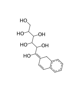 OCC(O)C(O)C(O)C(O)C(O)=C1C=Cc2ccccc2C1